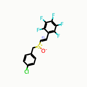 [O-][S+](/C=C/c1c(F)c(F)c(F)c(F)c1F)Cc1ccc(Cl)cc1